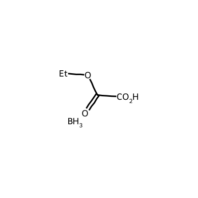 B.CCOC(=O)C(=O)O